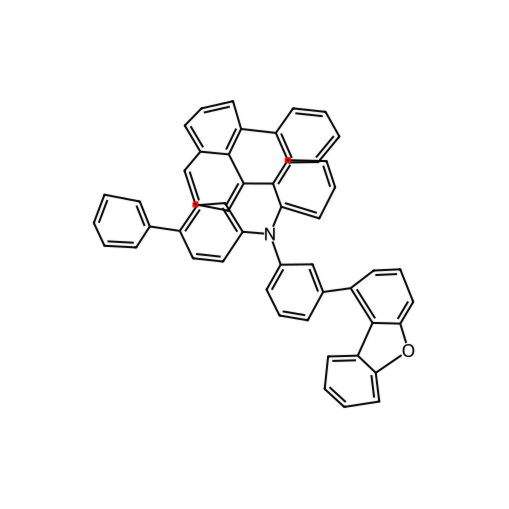 c1ccc(-c2ccc(N(c3cccc(-c4cccc5oc6ccccc6c45)c3)c3ccccc3-c3cccc4cccc(-c5ccccc5)c34)cc2)cc1